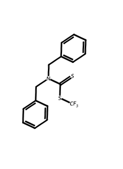 FC(F)(F)SC(=S)N(Cc1ccccc1)Cc1ccccc1